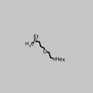 CCCCCCCCOCCCN(C)CC